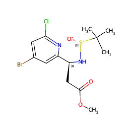 COC(=O)C[C@H](N[S@+]([O-])C(C)(C)C)c1cc(Br)cc(Cl)n1